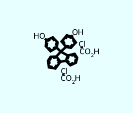 O=C(O)Cl.O=C(O)Cl.Oc1ccc(C2(c3ccc(O)cc3)c3ccccc3-c3ccccc32)cc1